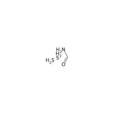 NC=O.S.S